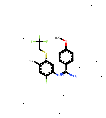 COc1ccc(/C(N)=N\c2cc(SCC(F)(F)F)c(C)cc2F)cc1